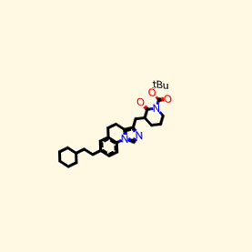 CC(C)(C)OC(=O)N1CCCC(Cc2ncn3c2CCc2cc(CCC4CCCCC4)ccc2-3)C1=O